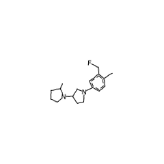 Cc1ccc(N2CCC(N3CCCC3C)C2)cc1CF